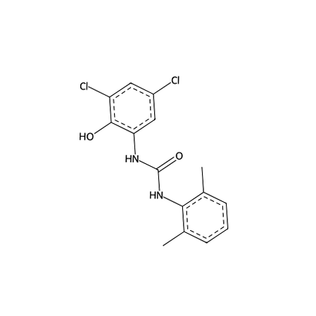 Cc1cccc(C)c1NC(=O)Nc1cc(Cl)cc(Cl)c1O